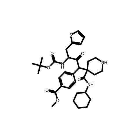 COC(=O)c1ccc(C(C(=O)C(Cc2cccs2)NC(=O)OC(C)(C)C)C2(C(=O)NC3CCCCC3)CCNCC2)cc1